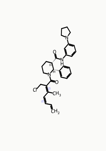 C=C/C=C\C(C)=C(/CCl)C(=O)N1CCC[C@H](C(=O)Nc2cccc(N3CCCC3)c2)[C@@H]1c1ccccc1